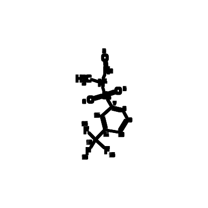 CN(N=O)S(=O)(=O)c1cccc(C(F)(F)F)c1